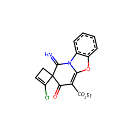 CCOC(=O)C1=C2Oc3ccccc3N2C(=N)C2(CC=C2Cl)C1=O